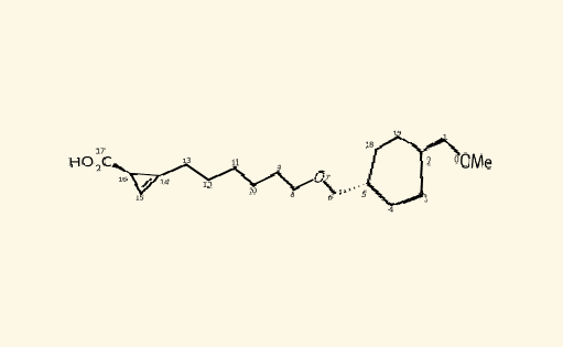 COC[C@H]1CC[C@H](COCCCCCCC2=C[C@H]2C(=O)O)CC1